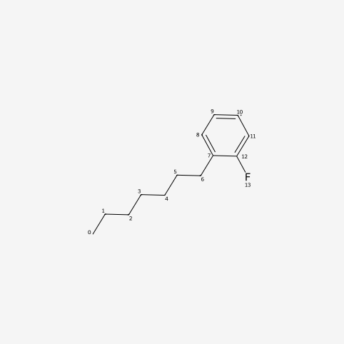 CCCCCCCc1cc[c]cc1F